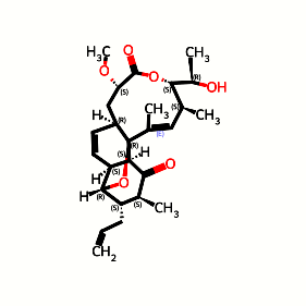 C=CC[C@@H]1[C@H]2O[C@]34/C(C)=C/[C@H](C)[C@@H]([C@@H](C)O)OC(=O)[C@@H](OC)C[C@@H]3C=C[C@H]2[C@@H]4C(=O)[C@H]1C